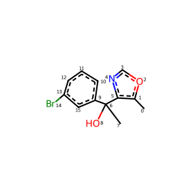 Cc1ocnc1C(C)(O)c1cccc(Br)c1